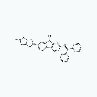 CN1C=C2CN(c3ccc4c(c3)C(=O)c3cc(N=C(c5ccccc5)c5ccccc5)ccc3-4)CC2C1